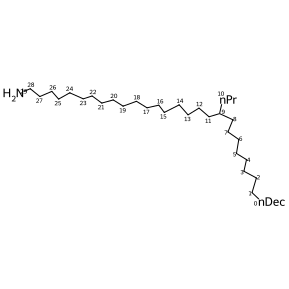 CCCCCCCCCCCCCCCCCCC(CCC)CCCCCCCCCCCCCCCCCCN